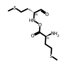 CSCC[C@H](C=O)NOC(=O)[C@@H](N)CCSC